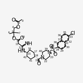 CC(=O)OCC(C)(C)OC(=O)CC(=N)N[C@H]1CC[C@H](C(=O)N2CCN(S(=O)(=O)c3ccc4cc(Cl)ccc4c3)CC2)CC1